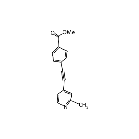 COC(=O)c1ccc(C#Cc2ccnc(C)c2)cc1